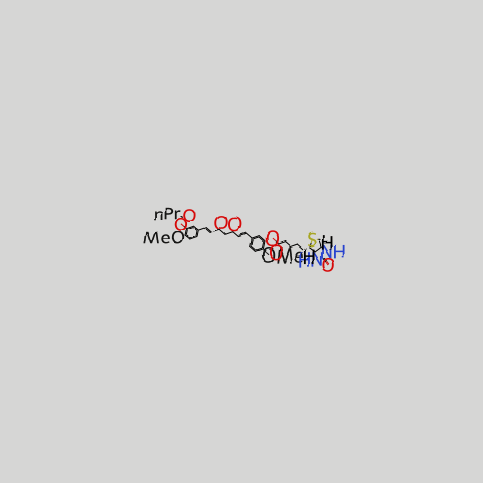 CCCC(=O)Oc1cc(/C=C/C(=O)CC(=O)/C=C/c2ccc(OC)c(OC(=O)CCCC[C@@H]3SC[C@@H]4NC(=O)N[C@@H]43)c2)ccc1OC